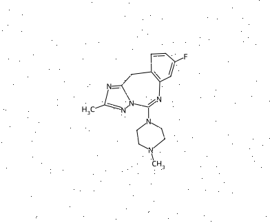 Cc1nc2n(n1)C(N1CCN(C)CC1)=Nc1cc(F)ccc1C2